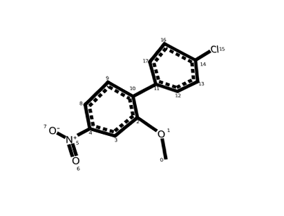 COc1cc([N+](=O)[O-])ccc1-c1ccc(Cl)cc1